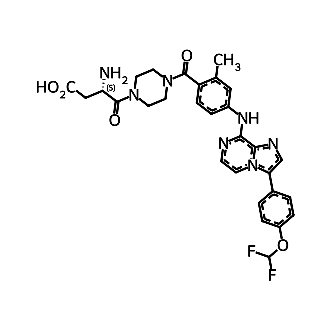 Cc1cc(Nc2nccn3c(-c4ccc(OC(F)F)cc4)cnc23)ccc1C(=O)N1CCN(C(=O)[C@@H](N)CC(=O)O)CC1